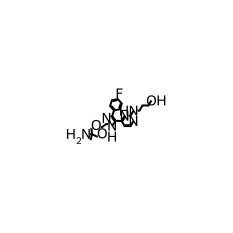 CC1(N)COC(c2nc(-c3ccc(F)cc3)c(-c3ccnc(NCCCO)n3)[nH]2)OC1